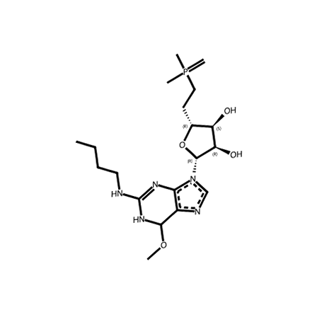 C=P(C)(C)CC[C@H]1O[C@@H](n2cnc3c2N=C(NCCCC)NC3OC)[C@H](O)[C@@H]1O